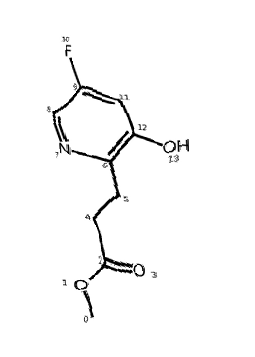 COC(=O)CCc1ncc(F)cc1O